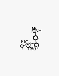 CCCCc1cn(C2C(C)CC2CC)c(=O)n1Cc1cnccc1-c1ccc(-c2nnn[nH]2)cc1